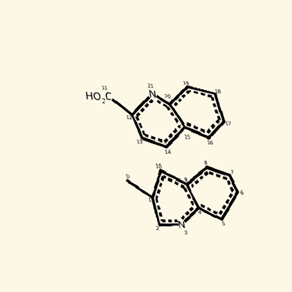 Cc1cnc2ccccc2c1.O=C(O)c1ccc2ccccc2n1